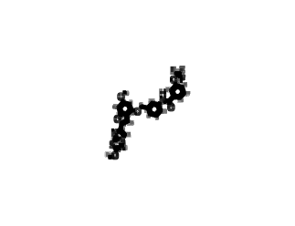 COc1cc(OCc2cccc(NC(=O)c3cccc(OC(F)(F)F)c3)c2)c2cc(-c3cn4nc(OC)sc4n3)oc2c1